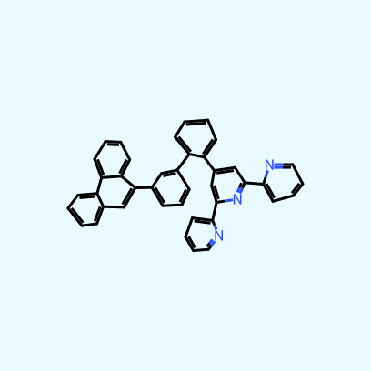 c1ccc(-c2cc(-c3ccccc3-c3cccc(-c4cc5ccccc5c5ccccc45)c3)cc(-c3ccccn3)n2)nc1